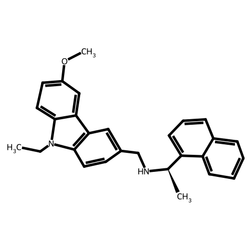 CCn1c2ccc(CN[C@H](C)c3cccc4ccccc34)cc2c2cc(OC)ccc21